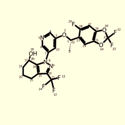 C[C@H](Oc1cncc(-n2nc(C(F)(F)F)c3c2[C@H](O)CCC3)c1)c1cc2c(cc1F)OC(F)(F)O2